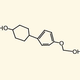 OCOc1ccc(C2CCC(O)CC2)cc1